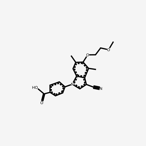 COCCOc1c(C)cc2c(c(C#N)cn2-c2ccc(C(=O)O)cc2)c1C